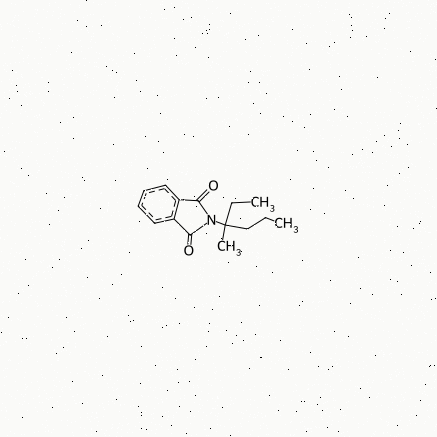 CCCC(C)(CC)N1C(=O)c2ccccc2C1=O